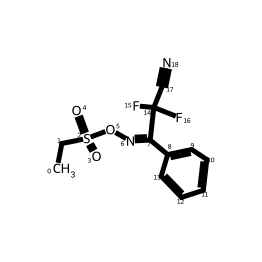 CCS(=O)(=O)ON=C(c1ccccc1)C(F)(F)C#N